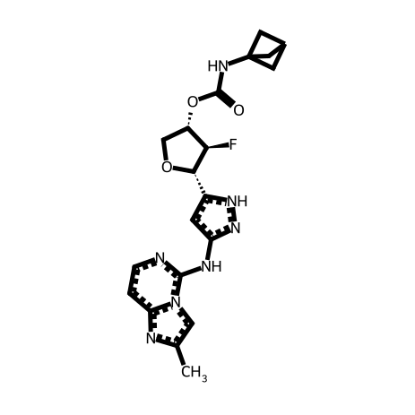 Cc1cn2c(Nc3cc([C@@H]4OC[C@H](OC(=O)NC56CC(C5)C6)[C@H]4F)[nH]n3)nccc2n1